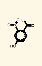 O=C(Cl)c1ccc(O)cc1[N+](=O)[O-]